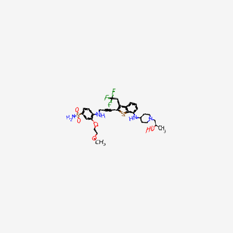 COCCOc1cc(S(N)(=O)=O)ccc1NCC#Cc1sc2c(NC3CCN(CC(C)O)CC3)cccc2c1CC(F)(F)F